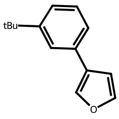 CC(C)(C)c1cccc(-c2ccoc2)c1